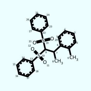 Cc1ccccc1C(C)[C](S(=O)(=O)c1ccccc1)S(=O)(=O)c1ccccc1